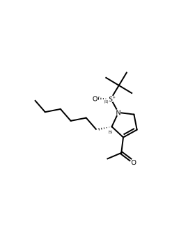 CCCCCC[C@H]1C(C(C)=O)=CCN1[S@+]([O-])C(C)(C)C